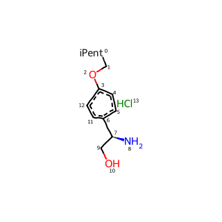 CCCC(C)COc1ccc([C@@H](N)CO)cc1.Cl